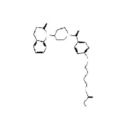 O=C(CCl)NCCCCOc1ccc(C(=O)N2CCC(N3C(=O)CCc4ccccc43)CC2)cc1